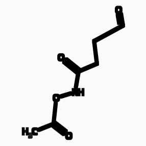 CC(=O)ONC(=O)CCC=O